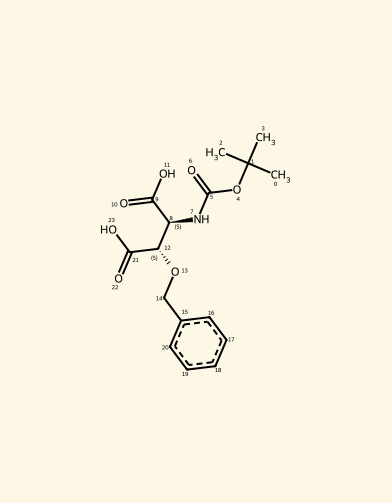 CC(C)(C)OC(=O)N[C@H](C(=O)O)[C@H](OCc1ccccc1)C(=O)O